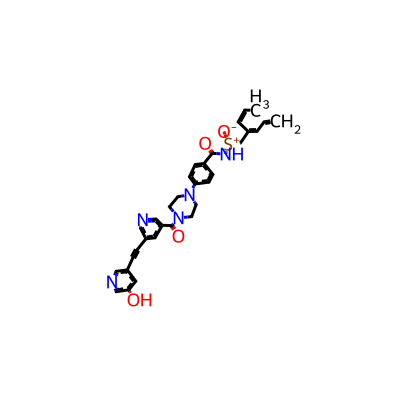 C=C/C=C(\C=C/C)C[S+]([O-])NC(=O)c1ccc(N2CCN(C(=O)c3cncc(C#Cc4cncc(O)c4)c3)CC2)cc1